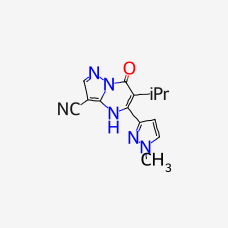 CC(C)c1c(-c2ccn(C)n2)[nH]c2c(C#N)cnn2c1=O